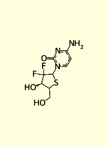 Nc1ccn(C2SC(CO)[C@@H](O)C2(F)F)c(=O)n1